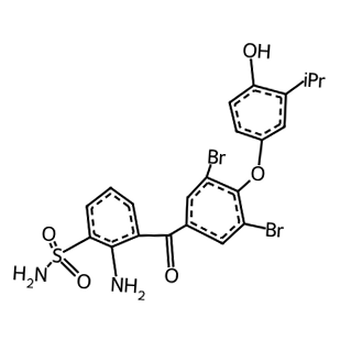 CC(C)c1cc(Oc2c(Br)cc(C(=O)c3cccc(S(N)(=O)=O)c3N)cc2Br)ccc1O